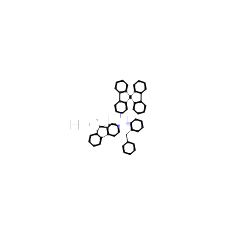 CC1(C)c2ccccc2-c2ccc(N(c3ccc4c(c3)C3(c5ccccc5-c5ccccc53)c3ccccc3-4)c3ccccc3Cc3ccccc3)cc21